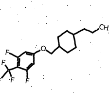 CCCC1CCC(COc2cc(F)c(C(F)(F)F)c(F)c2)CC1